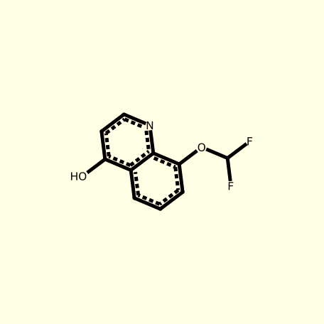 Oc1ccnc2c(OC(F)F)cccc12